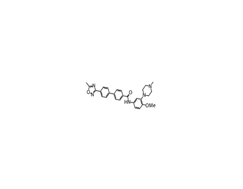 COc1ccc(NC(=O)c2ccc(-c3ccc(-c4noc(C)n4)cc3)cc2)cc1N1CCN(C)CC1